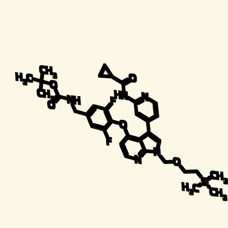 CC(C)(C)OC(=O)NCc1cc(F)c(Oc2ccnc3c2c(-c2ccnc(NC(=O)C4CC4)c2)cn3COCC[Si](C)(C)C)c(F)c1